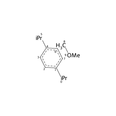 CC(C)c1ccc(C(C)C)cc1.COC